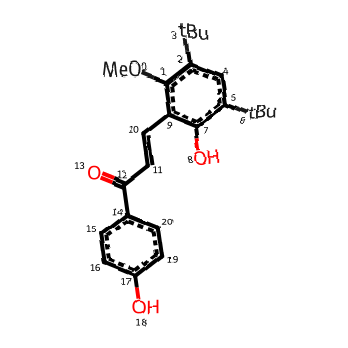 COc1c(C(C)(C)C)cc(C(C)(C)C)c(O)c1/C=C/C(=O)c1ccc(O)cc1